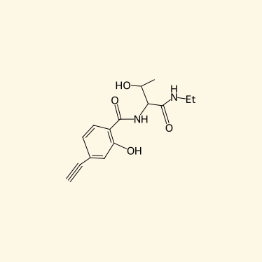 C#Cc1ccc(C(=O)NC(C(=O)NCC)C(C)O)c(O)c1